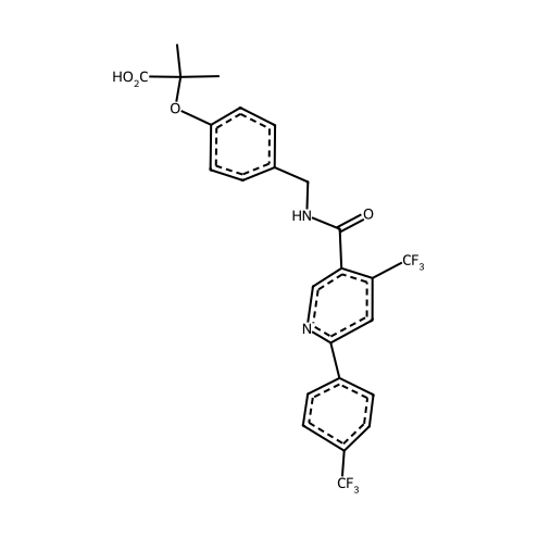 CC(C)(Oc1ccc(CNC(=O)c2cnc(-c3ccc(C(F)(F)F)cc3)cc2C(F)(F)F)cc1)C(=O)O